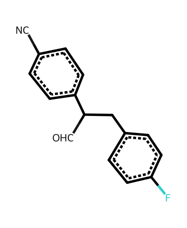 N#Cc1ccc(C(C=O)Cc2ccc(F)cc2)cc1